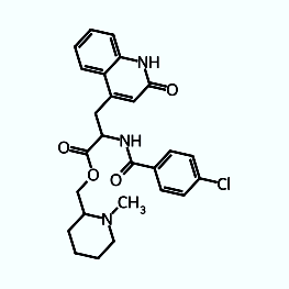 CN1CCCCC1COC(=O)C(Cc1cc(=O)[nH]c2ccccc12)NC(=O)c1ccc(Cl)cc1